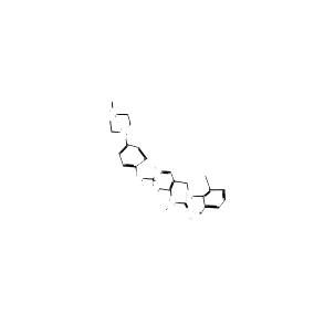 Cc1cccc(Cl)c1N1Cc2cnc(Nc3ccc(N4CCN(C)CC4)cc3)nc2N(C)C1=O